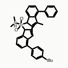 CC1=Cc2c(-c3ccc(C(C)(C)C)cc3)cccc2[CH]1[Zr]([Cl])([Cl])([CH]1C(C)=C(C)c2c(-c3ccccc3)cccc21)[SiH](C)C